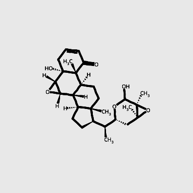 C[C@@H]([C@H]1CC[C@H]2[C@@H]3[C@@H]4O[C@@H]4[C@@]4(O)CC=CC(=O)[C@]4(C)[C@H]3CC[C@]12C)[C@H]1C[C@]2(C)O[C@]2(C)C(O)O1